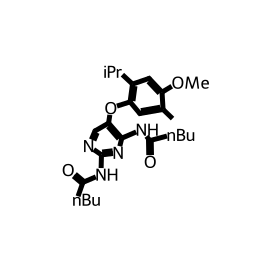 CCCCC(=O)Nc1ncc(Oc2cc(C)c(OC)cc2C(C)C)c(NC(=O)CCCC)n1